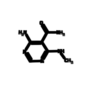 CNc1ncnc(N)c1C(N)=O